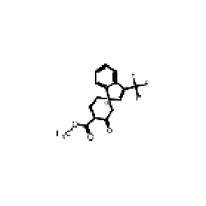 COC(=O)C1CC[C@@]2(C=C(C(F)(F)F)c3ccccc32)CC1=O